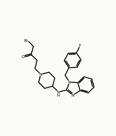 O=C(CBr)CCN1CCC(Nc2nc3ccccc3n2Cc2ccc(F)cc2)CC1